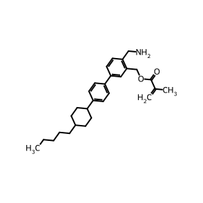 C=C(C)C(=O)OCc1cc(-c2ccc(C3CCC(CCCCC)CC3)cc2)ccc1CN